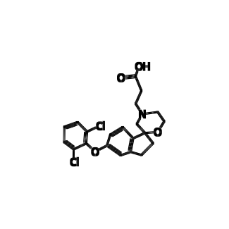 O=C(O)CCN1CCOC2(CCc3cc(Oc4c(Cl)cccc4Cl)ccc32)C1